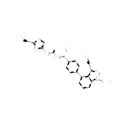 C#Cc1nc(NC(=O)N[C@@H](CO)c2ccc(-c3cccc4c3c(C#N)nn4C)cc2)cs1